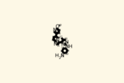 COc1ccc(-c2ccc3ncc(-c4nc(NC5CCC(N)CC5)ncc4C)n3c2)cn1